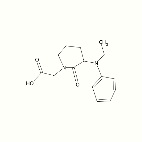 CCN(c1ccccc1)C1CCCN(CC(=O)O)C1=O